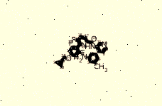 C[C@@H]1C[C@H](N)C[C@H](c2ccncc2NC(=O)c2ccc(F)c(-c3c(F)cc(OCC4CC4)cc3F)n2)C1